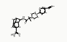 CC(C)(C(=O)NC1C2CC3CC1CC(C(=O)O)(C3)C2)N1CCN(c2ccc(C#N)cn2)CC1